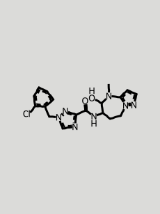 CN1c2ccnn2CCC(NC(=O)c2ncn(Cc3ccccc3Cl)n2)C1O